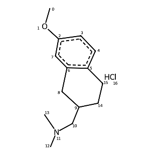 COc1ccc2c(c1)CC(CN(C)C)CC2.Cl